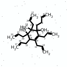 C=CCCC1(O)C(CC=C)=C(CC=C)C(CC=C)C(O)(CC=C)C1(C)CC=C